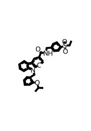 CCS(=O)(=O)c1ccc(CNC(=O)c2ccc3c(c2)c2ccccc2n3Cc2ccccc2OC(C)C)cc1